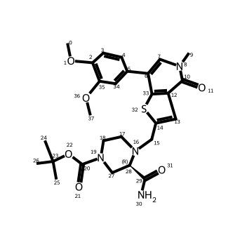 COc1ccc(-c2cn(C)c(=O)c3cc(CN4CCN(C(=O)OC(C)(C)C)C[C@@H]4C(N)=O)sc23)cc1OC